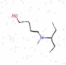 CCC(CC)N(C)CCCCO